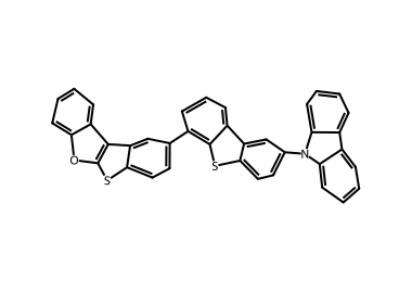 c1ccc2c(c1)oc1sc3ccc(-c4cccc5c4sc4ccc(-n6c7ccccc7c7ccccc76)cc45)cc3c12